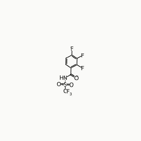 O=C(NS(=O)(=O)C(F)(F)F)c1ccc(F)c(F)c1F